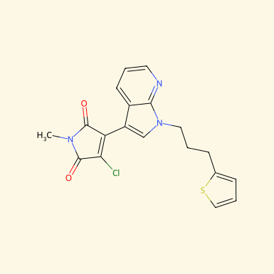 CN1C(=O)C(Cl)=C(c2cn(CCCc3cccs3)c3ncccc23)C1=O